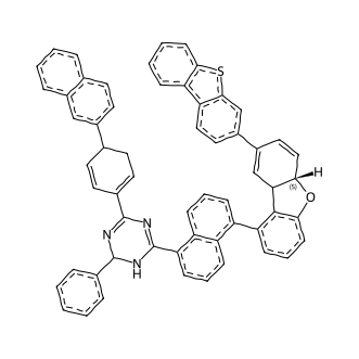 C1=CC(c2ccc3ccccc3c2)CC=C1C1=NC(c2ccccc2)NC(c2cccc3c(-c4cccc5c4C4C=C(c6ccc7c(c6)sc6ccccc67)C=C[C@@H]4O5)cccc23)=N1